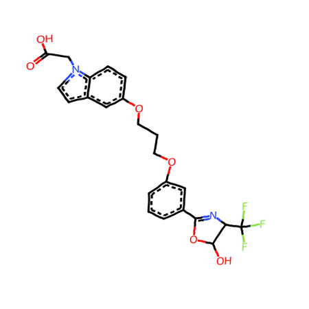 O=C(O)Cn1ccc2cc(OCCCOc3cccc(C4=NC(C(F)(F)F)C(O)O4)c3)ccc21